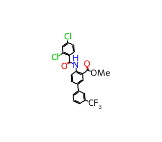 COC(=O)c1cc(-c2cccc(C(F)(F)F)c2)ccc1NC(=O)c1ccc(Cl)cc1Cl